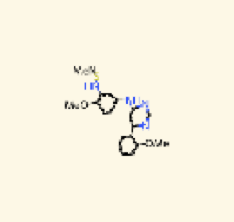 CNSNc1cc(Nc2cc(-c3ccccc3OC)ncn2)ccc1OC